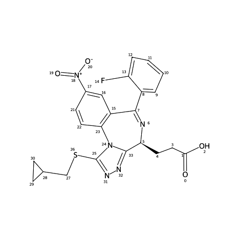 O=C(O)CC[C@@H]1N=C(c2ccccc2F)c2cc([N+](=O)[O-])ccc2-n2c(SCC3CC3)nnc21